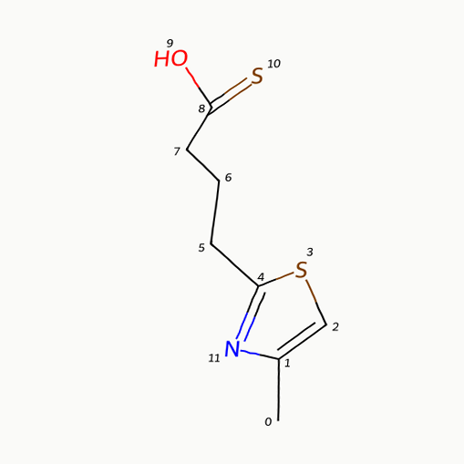 Cc1csc(CCCC(O)=S)n1